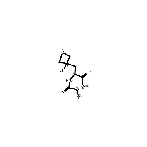 CC(C)COC(=O)C(CC1(F)COC1)NC(=O)OC(C)(C)C